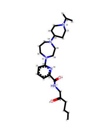 CCCCC(=O)CNC(=O)c1cccc(N2CCCN(C3CCN(C(C)C)CC3)CC2)n1